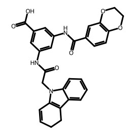 O=C(Cn1c2c(c3ccccc31)CCC=C2)Nc1cc(NC(=O)c2ccc3c(c2)OCCO3)cc(C(=O)O)c1